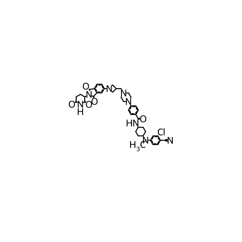 CN(c1ccc(C#N)c(Cl)c1)C1CCC(NC(=O)c2ccc(N3CCN(CC4CN(c5ccc6c(c5)C(=O)N(C5CCC(=O)NC5=O)C6=O)C4)CC3)cc2)CC1